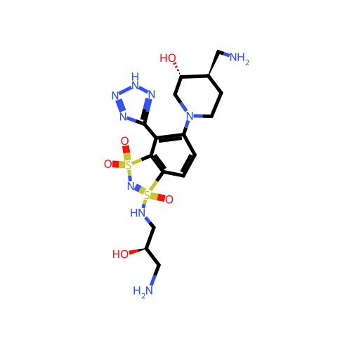 NC[C@@H](O)CNS1(=O)=NS(=O)(=O)c2c1ccc(N1CC[C@H](CN)[C@@H](O)C1)c2-c1nn[nH]n1